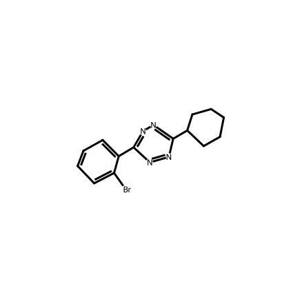 Brc1ccccc1-c1nnc(C2CCCCC2)nn1